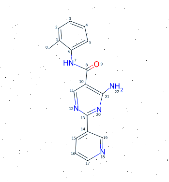 Cc1ccccc1NC(=O)c1cnc(-c2cccnc2)nc1N